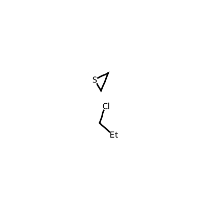 C1CS1.CCCCl